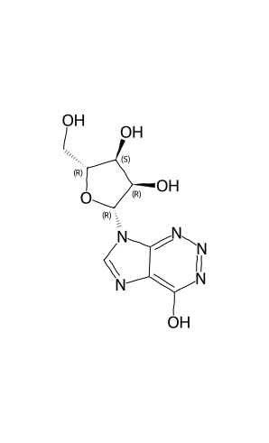 OC[C@H]1O[C@@H](n2cnc3c(O)nnnc32)[C@H](O)[C@@H]1O